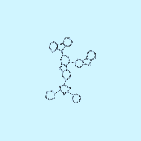 c1ccc(-c2nc(-c3ccccc3)nc(-c3ccc4c(c3)oc3cc(-n5c6ccccc6c6ccccc65)cc(-c5ccc6oc7ccccc7c6c5)c34)n2)cc1